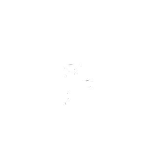 C=CC(=O)N1CC2(CCN(c3nc4c(c(NC(Cc5nccs5)CC(C)C)n3)CCC(C)(C)C4)C2)C1